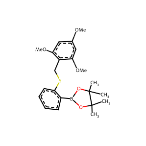 COc1cc(OC)c(CSc2ccccc2B2OC(C)(C)C(C)(C)O2)c(OC)c1